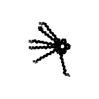 CCCCCCCCCCCCC(=O)OC1(OC(=O)CCCCCCCCCCCC)c2ccccc2-c2ccccc2-c2ccccc2C(OC(=O)CCCCCCCCCCCC)(OC(=O)CCCCCCCCCCCC)C1(OC(=O)CCCCCCCCCCCC)OC(=O)CCCCCCCCCCCC